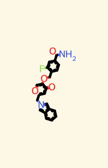 NC(=O)c1ccc(COc2coc(Cn3cc4ccccc4c3)cc2=O)c(F)c1